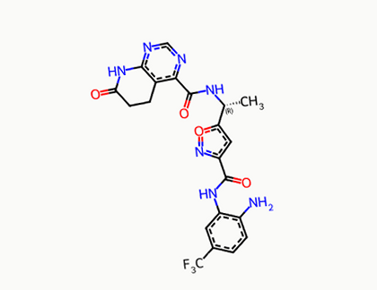 C[C@@H](NC(=O)c1ncnc2c1CCC(=O)N2)c1cc(C(=O)Nc2cc(C(F)(F)F)ccc2N)no1